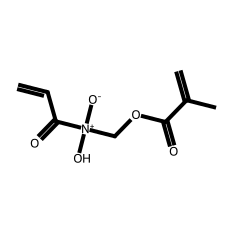 C=CC(=O)[N+]([O-])(O)COC(=O)C(=C)C